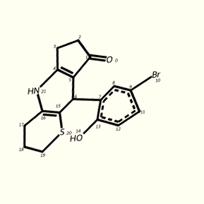 O=C1CCC2=C1C(c1cc(Br)ccc1O)C1=C(CCCS1)N2